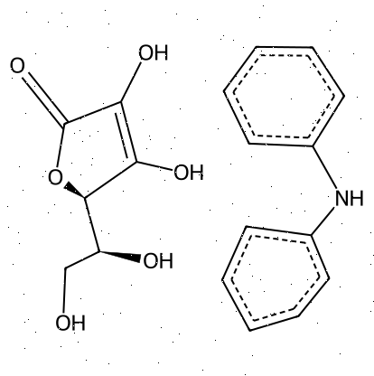 O=C1O[C@H]([C@@H](O)CO)C(O)=C1O.c1ccc(Nc2ccccc2)cc1